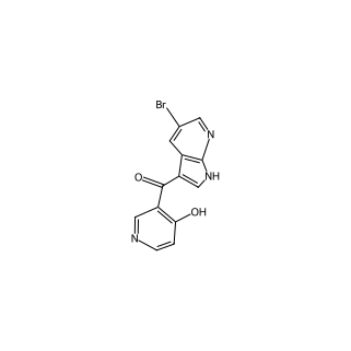 O=C(c1cnccc1O)c1c[nH]c2ncc(Br)cc12